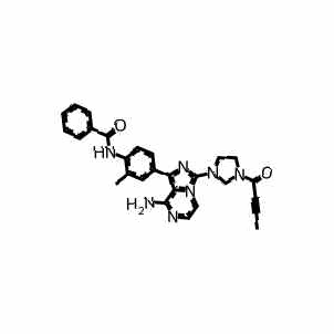 CC#CC(=O)N1CCN(c2nc(-c3ccc(NC(=O)c4ccccc4)c(C)c3)c3c(N)nccn23)C1